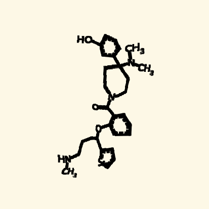 CNCCC(Oc1ccccc1C(=O)N1CCC(c2cccc(O)c2)(N(C)C)CC1)c1cccs1